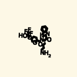 NCCCC[C@H](NC(=O)C1CCCCO1)C(=O)c1nc2ccccc2s1.O=C(O)C(F)(F)F